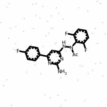 CC(=O)N(Nc1cc(-c2ccc(F)cc2)nc(N)n1)c1c(F)cccc1F